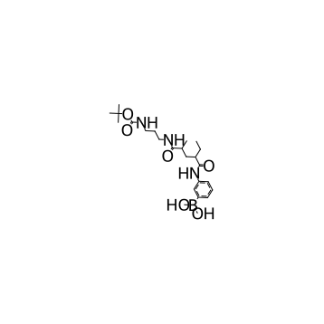 CCC(CC(C)C(=O)NCCCNC(=O)OC(C)(C)C)C(=O)Nc1cccc(B(O)O)c1